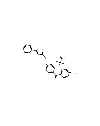 COc1ccc(C(=O)c2ccc(OCc3cc(-c4ccccc4)on3)cc2)c(OC(C)(C)C(=O)O)c1